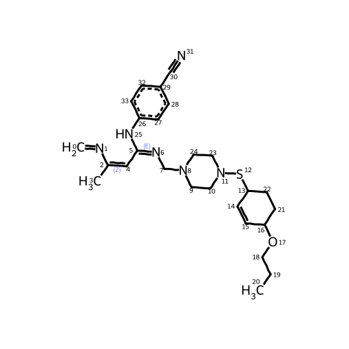 C=N/C(C)=C\C(=N/CN1CCN(SC2C=CC(OCCC)CC2)CC1)Nc1ccc(C#N)cc1